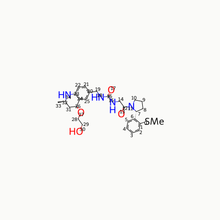 CSc1ccccc1[C@H]1CCCN1C(=O)CNC(=O)NCc1ccc2c(c1)[C@@H](OCCO)C[C@@H](C)N2